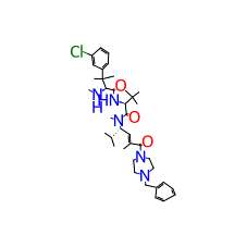 CN[C@H](C(=O)N[C@H](C(=O)N(C)[C@H](/C=C(\C)C(=O)N1CCN(Cc2ccccc2)CC1)C(C)C)C(C)(C)C)C(C)(C)c1cccc(Cl)c1